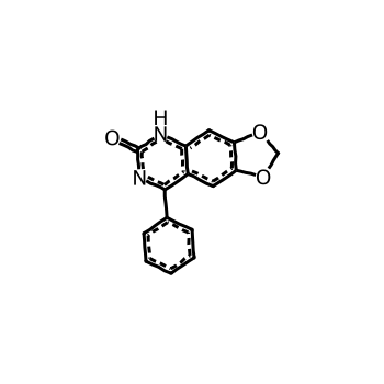 O=c1nc(-c2ccccc2)c2cc3c(cc2[nH]1)OCO3